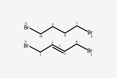 BrC/C=C/CBr.BrCCCCBr